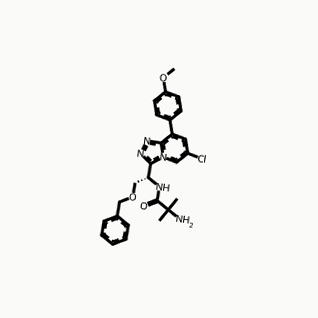 COc1ccc(-c2cc(Cl)cn3c([C@@H](COCc4ccccc4)NC(=O)C(C)(C)N)nnc23)cc1